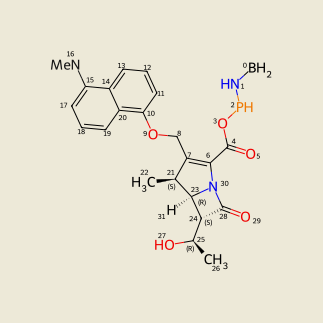 BNPOC(=O)C1=C(COc2cccc3c(NC)cccc23)[C@H](C)[C@@H]2[C@@H]([C@@H](C)O)C(=O)N12